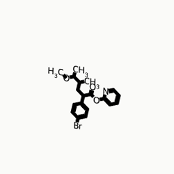 COC(C)C(C)CC(C(=O)Oc1ccccn1)c1ccc(Br)cc1